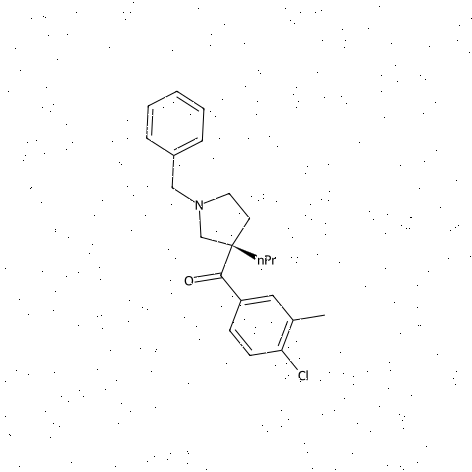 CCC[C@]1(C(=O)c2ccc(Cl)c(C)c2)CCN(Cc2ccccc2)C1